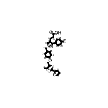 Cc1oc(-c2ccco2)nc1COc1ccc(Cn2cc(CCC(=O)O)c(-c3ccc(F)cc3)n2)cc1